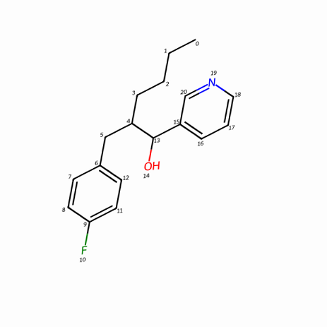 CCCCC(Cc1ccc(F)cc1)C(O)c1cccnc1